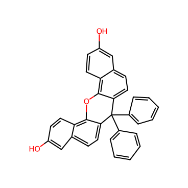 Oc1ccc2c3c(ccc2c1)C(c1ccccc1)(c1ccccc1)c1ccc2cc(O)ccc2c1O3